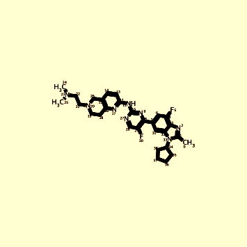 Cc1nc2c(F)cc(-c3nc(Nc4ccc5c(n4)CCN(CCN(C)C)C5)ncc3F)cc2n1C1CCCC1